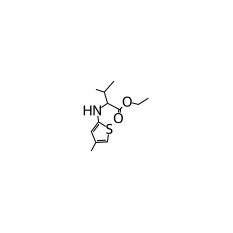 CCOC(=O)C(Nc1cc(C)cs1)C(C)C